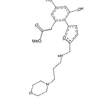 COC(=O)Cc1cc(O)cc(O)c1-c1ccc(CNCCCN2CCOCC2)o1